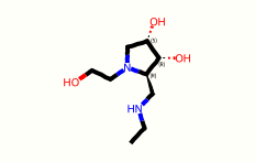 CCNC[C@@H]1[C@@H](O)[C@@H](O)CN1CCO